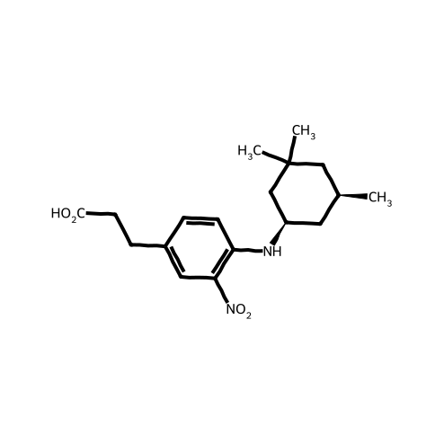 C[C@H]1C[C@@H](Nc2ccc(CCC(=O)O)cc2[N+](=O)[O-])CC(C)(C)C1